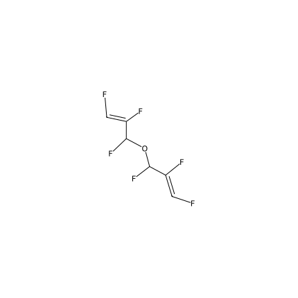 FC=C(F)C(F)OC(F)C(F)=CF